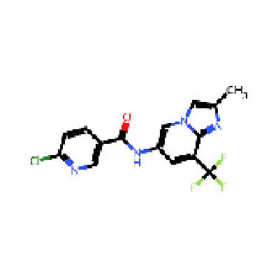 Cc1cn2cc(NC(=O)c3ccc(Cl)nc3)cc(C(F)(F)F)c2n1